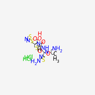 CCC(CN)ON=C(C(=O)NC1C(=O)N2C(C(=O)O)=C(CSc3nncs3)CS[C@@H]12)c1csc(N)n1.Cl.Cl